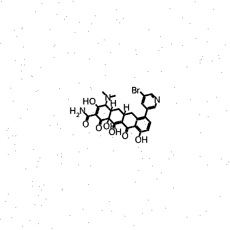 CN(C)[C@@H]1C(O)=C(C(N)=O)C(=O)[C@@]2(O)C(O)=C3C(=O)c4c(O)ccc(-c5cncc(Br)c5)c4C[C@H]3C[C@@H]12